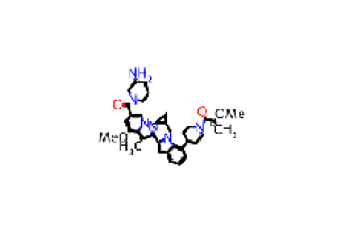 COc1cc(C(=O)N2CCC[C@@H](N)C2)cn2nc(-c3cc4cccc(C5CCN(C(=O)[C@H](C)OC)CC5)c4n3CC3CC3)c(C)c12